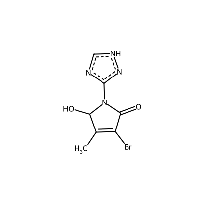 CC1=C(Br)C(=O)N(c2nc[nH]n2)C1O